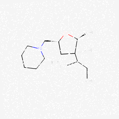 CCC(C)[C@]1(C)[C@H](C)O[C@H](CN2CCCCC2)[C@H]1C